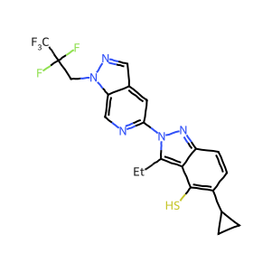 CCc1c2c(S)c(C3CC3)ccc2nn1-c1cc2cnn(CC(F)(F)C(F)(F)F)c2cn1